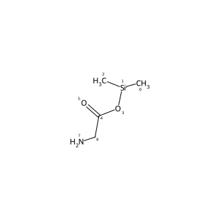 C[Si](C)OC(=O)CN